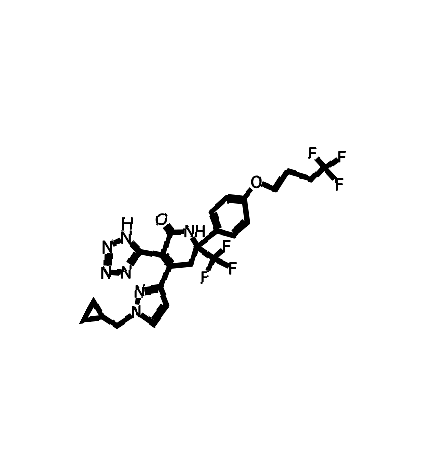 O=C1NC(c2ccc(OCCCC(F)(F)F)cc2)(C(F)(F)F)CC(c2ccn(CC3CC3)n2)=C1c1nnn[nH]1